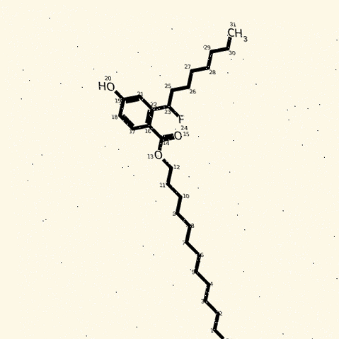 CCCCCCCCCCCCCOC(=O)c1ccc(O)cc1C(F)CCCCCCC